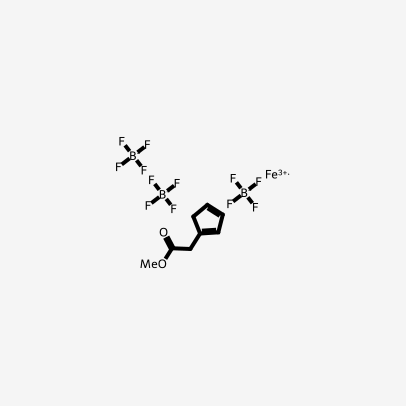 COC(=O)CC1=CC=CC1.F[B-](F)(F)F.F[B-](F)(F)F.F[B-](F)(F)F.[Fe+3]